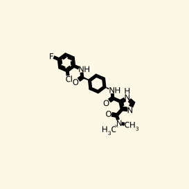 CN(C)C(=O)c1nc[nH]c1C(=O)N[C@H]1CC[C@H](C(=O)Nc2ccc(F)cc2Cl)CC1